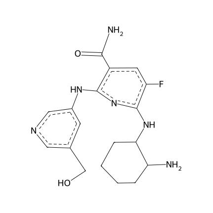 NC(=O)c1cc(F)c(NC2CCCCC2N)nc1Nc1cncc(CO)c1